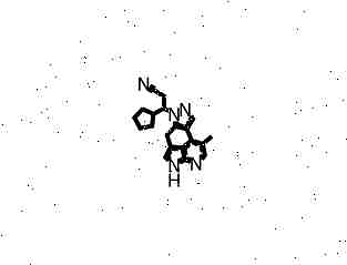 Cc1cnc2[nH]cc3c2c1-c1cnn(C(CC#N)C2CCCC2)c1C3